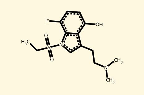 CCS(=O)(=O)n1cc(CCN(C)C)c2c(O)ccc(F)c21